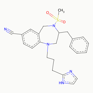 CS(=O)(=O)N1Cc2cc(C#N)ccc2N(CCCc2ncc[nH]2)CC1Cc1ccccc1